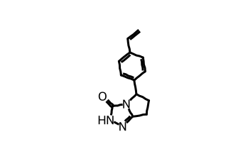 C=Cc1ccc(C2CCc3n[nH]c(=O)n32)cc1